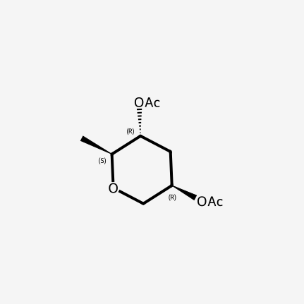 CC(=O)O[C@H]1CO[C@@H](C)[C@H](OC(C)=O)C1